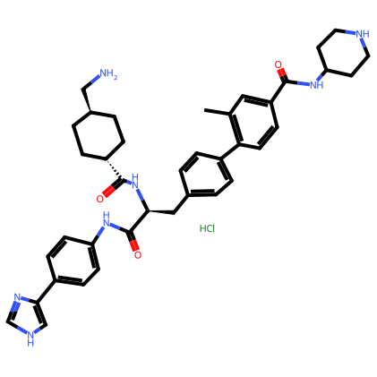 Cc1cc(C(=O)NC2CCNCC2)ccc1-c1ccc(C[C@H](NC(=O)[C@H]2CC[C@H](CN)CC2)C(=O)Nc2ccc(-c3c[nH]cn3)cc2)cc1.Cl